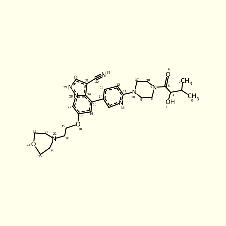 CC(C)C(O)C(=O)N1CCN(c2ccc(-c3cc(OCCN4CCOCC4)cn4ncc(C#N)c34)cn2)CC1